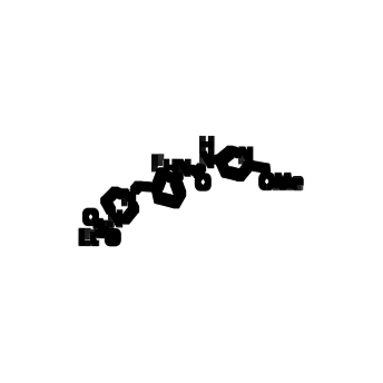 CCS(=O)(=O)N1CCN(Cc2cccc(NC(=O)Nc3ccc(COC)nc3)c2F)CC1